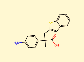 CC(Cc1cc2ccccc2s1)(C(=O)O)c1ccc(N)cc1